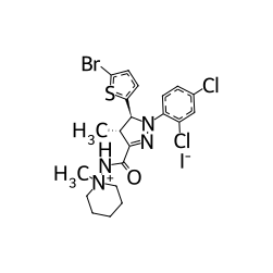 C[C@H]1C(C(=O)N[N+]2(C)CCCCC2)=NN(c2ccc(Cl)cc2Cl)[C@@H]1c1ccc(Br)s1.[I-]